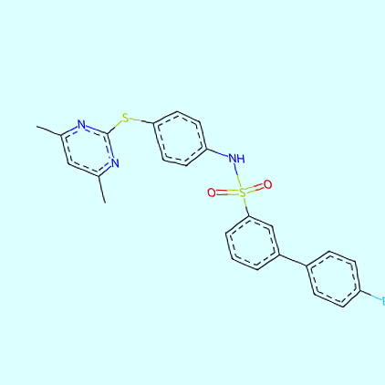 Cc1cc(C)nc(Sc2ccc(NS(=O)(=O)c3cccc(-c4ccc(F)cc4)c3)cc2)n1